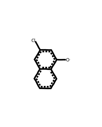 [O]c1cc(Cl)cc2ccccc12